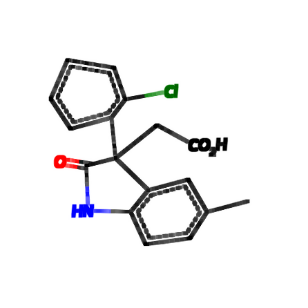 Cc1ccc2c(c1)C(CC(=O)O)(c1ccccc1Cl)C(=O)N2